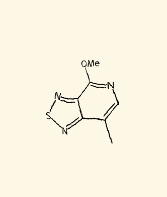 COc1ncc(C)c2nsnc12